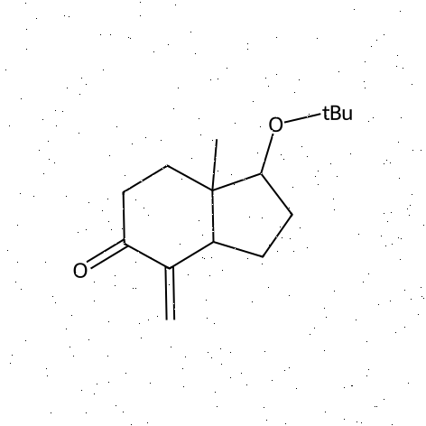 C=C1C(=O)CCC2(C)C(OC(C)(C)C)CCC12